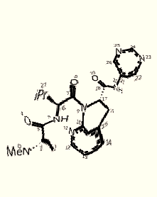 CN[C@@H](C)C(=O)N[C@H](C(=O)N1c2ncccc2C[C@H]1C(=O)Nc1cncnc1)C(C)C